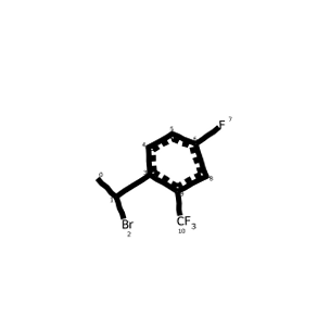 CC(Br)c1ccc(F)cc1C(F)(F)F